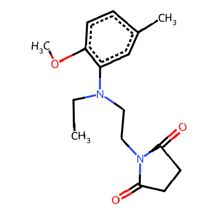 CCN(CCN1C(=O)CCC1=O)c1cc(C)ccc1OC